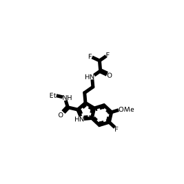 CCNC(=O)c1[nH]c2cc(F)c(OC)cc2c1CCNC(=O)C(F)F